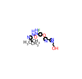 CC(C)(C)c1cncc(NC(=O)Nc2ccc(Oc3ccnc(-c4cnn(CCCO)c4)c3)cc2F)c1